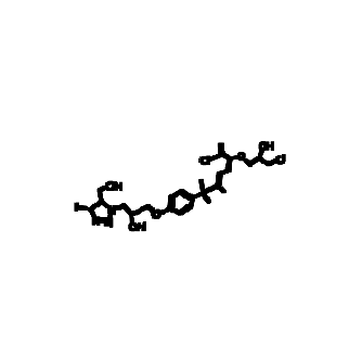 C=C(Cl)/C(=C\C=C(/C)C(C)(C)c1ccc(OC[C@@H](O)CN2N=NC(I)C2CO)cc1)OC[C@@H](O)CCl